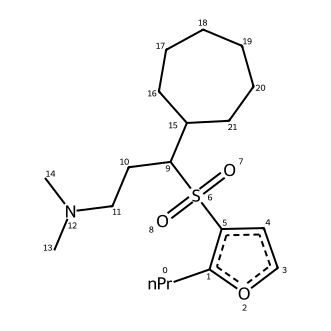 CCCc1occc1S(=O)(=O)C(CCN(C)C)C1CCCCCC1